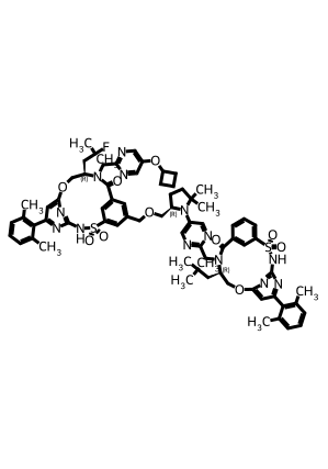 Cc1cccc(C)c1-c1cc2nc(n1)NS(=O)(=O)c1cccc(c1)C(=O)N(Cc1ncc(N3[C@@H](COCc4cc5cc(c4)S(=O)(=O)Nc4nc(cc(-c6c(C)cccc6C)n4)OC[C@@H](CC(C)(C)F)N(Cc4ncc(OC6CCC6)cn4)C5=O)CCC3(C)C)cn1)[C@H](CC(C)(C)C)CO2